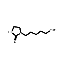 O=CCCCCCN1CCNC1=O